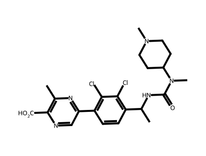 Cc1nc(-c2ccc(C(C)NC(=O)N(C)C3CCN(C)CC3)c(Cl)c2Cl)cnc1C(=O)O